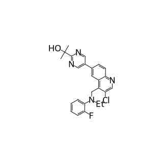 CCN(Cc1c(Cl)cnc2ccc(-c3cnc(C(C)(C)O)nc3)cc12)c1ccccc1F